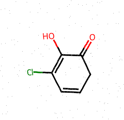 O=C1CC=CC(Cl)=C1O